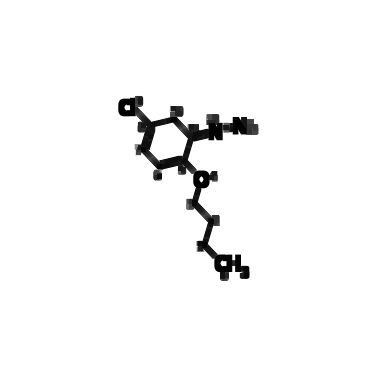 CCCCOC1=CC=C(Cl)CC1=[N+]=[N-]